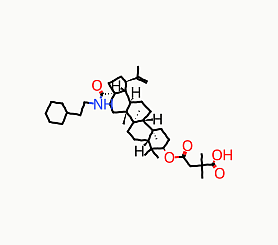 C=C(C)[C@@H]1CC[C@]2(C(=O)NCCC3CCCCC3)CC[C@]3(C)[C@H](CC[C@@H]4[C@@]5(C)CC[C@H](OC(=O)CC(C)(C)C(=O)O)C(C)(C)[C@@H]5CC[C@]43C)[C@@H]12